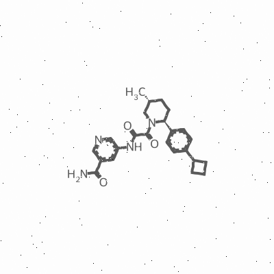 C[C@@H]1CC[C@@H](c2ccc(C3CCC3)cc2)N(C(=O)C(=O)Nc2cncc(C(N)=O)c2)C1